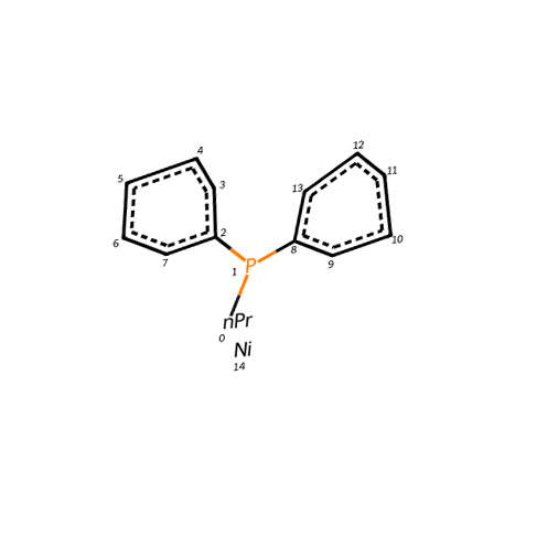 CCCP(c1ccccc1)c1ccccc1.[Ni]